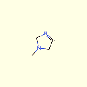 CN1C[C]=NC1